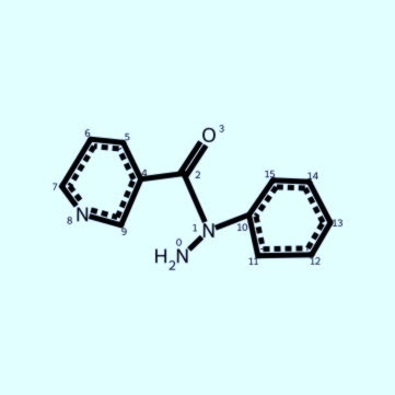 NN(C(=O)c1cccnc1)c1ccccc1